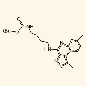 Cc1ccc2c(c1)nc(NCCCCNC(=O)OC(C)(C)C)c1nnc(C)n12